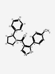 Cc1ccc(-c2oncc2C(=O)N2CCCC2c2ccncc2)cc1